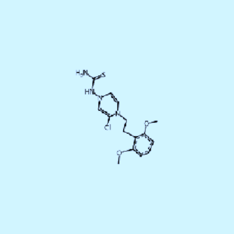 COc1cccc(OC)c1CCN1C=CN(NC(N)=S)C=C1Cl